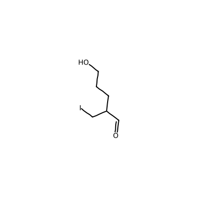 O=CC(CI)CCCO